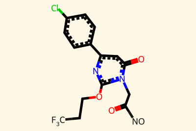 O=NC(=O)Cn1c(OCCC(F)(F)F)nc(-c2ccc(Cl)cc2)cc1=O